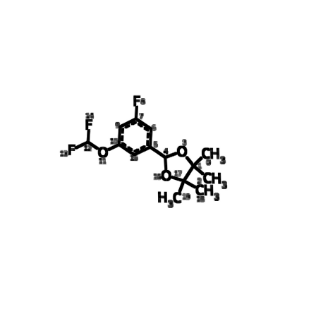 CC1(C)OC(c2cc(F)cc(OC(F)F)c2)OC1(C)C